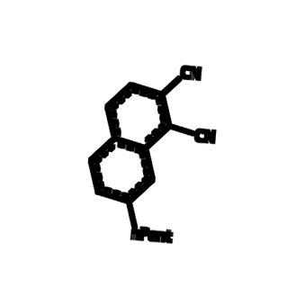 CCCCCc1ccc2ccc(C#N)c(C#N)c2c1